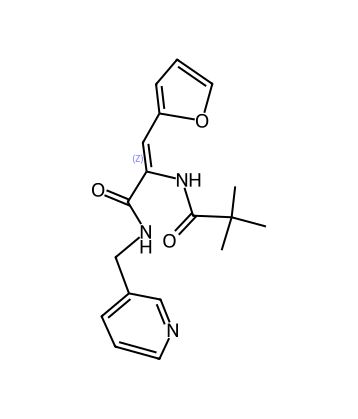 CC(C)(C)C(=O)N/C(=C\c1ccco1)C(=O)NCc1cccnc1